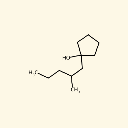 CCCC(C)CC1(O)CCCC1